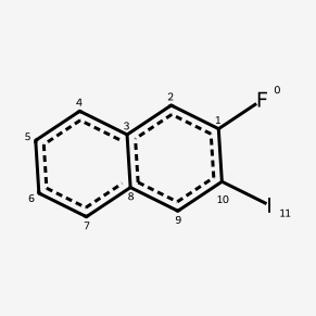 Fc1cc2ccccc2cc1I